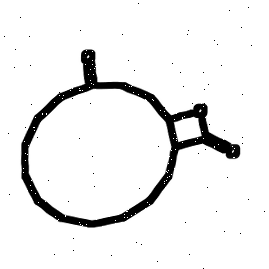 O=C1CCCCCCCCCCC2C(=O)OC2CC1